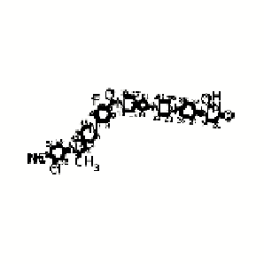 C[C@H]1CC2(CCN(c3ccc(C(=O)N4CCC5(CC4)CC(N4CCN(c6ccc(N7CCC(=O)NC7=O)cc6)CC4)C5)c(F)c3)CC2)CN1c1ccc(C#N)c(Cl)c1